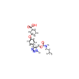 CC(C)CCN(C)C(=O)OCc1c(-c2ccc(O[C@@H]3CCC[C@@H](C(=O)O)C3)cc2)nnn1C